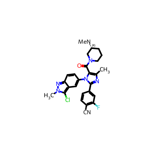 CN[C@@H]1CCCN(C(=O)c2c(C)nc(-c3ccc(C#N)c(F)c3)n2-c2ccc3nn(C)c(Cl)c3c2)C1